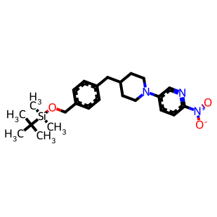 CC(C)(C)[Si](C)(C)OCc1ccc(CC2CCN(c3ccc([N+](=O)[O-])nc3)CC2)cc1